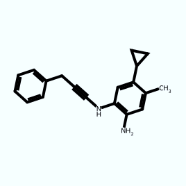 Cc1cc(N)c(NC#CCc2ccccc2)cc1C1CC1